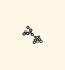 C1=Cc2c(ccc3c2Oc2c(ccc4ccccc24)C32c3ccccc3-c3cc(-c4ccc(N(c5cccc(-c6ccccc6)c5)c5ccc6c(c5)oc5ccccc56)cc4)ccc32)CC1